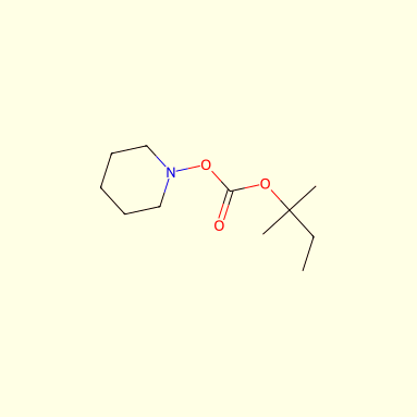 CCC(C)(C)OC(=O)ON1CCCCC1